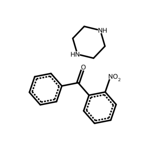 C1CNCCN1.O=C(c1ccccc1)c1ccccc1[N+](=O)[O-]